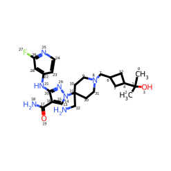 CC(C)(O)C1CC(CN2CCC(CN)(n3cc(C(N)=O)c(Nc4ccnc(F)c4)n3)CC2)C1